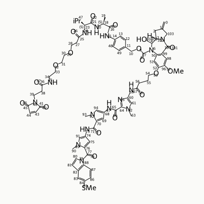 C=C1C[C@H]2C(O)N(C(=O)OCc3ccc(NC(=O)[C@H](C)NC(=O)[C@@H](NC(=O)CCOCCOCCNC(=O)CCN4C(=O)C=CC4=O)C(C)C)cc3)c3cc(OCCCC(=O)Nc4cn(C)c(C(=O)Nc5cc(C(=O)Nc6cc(C(=O)n7ccc8cc(SC)ccc87)n(C)c6)n(C)c5)n4)c(OC)cc3C(=O)N2C1